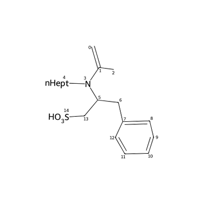 C=C(C)N(CCCCCCC)C(Cc1ccccc1)CS(=O)(=O)O